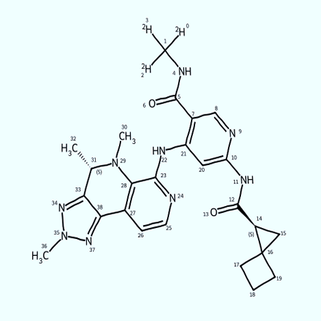 [2H]C([2H])([2H])NC(=O)c1cnc(NC(=O)[C@H]2CC23CCC3)cc1Nc1nccc2c1N(C)[C@@H](C)c1nn(C)nc1-2